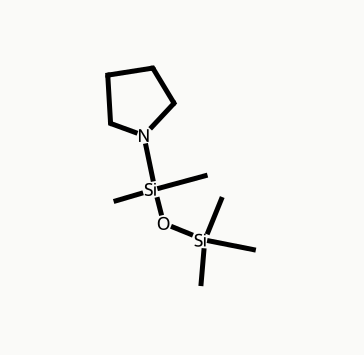 C[Si](C)(C)O[Si](C)(C)N1CCCC1